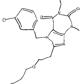 CCCOCCc1nc2c(c(=O)n(C)c(=O)n2C)n1Cc1cccc(Cl)c1